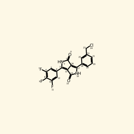 O=C1NC(c2cc(F)c(F)c(F)c2)=C2C(=O)NC(c3cccc(CCl)c3)=C12